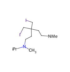 CNCCC(CI)(CI)CCN(C)C(C)C